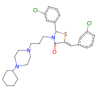 O=C1C(=Cc2cccc(Cl)c2)SC(c2cccc(Cl)c2)N1CCCN1CCN(C2CCCCC2)CC1